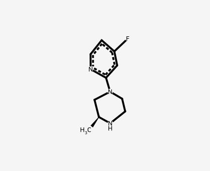 C[C@H]1CN(c2cc(F)ccn2)CCN1